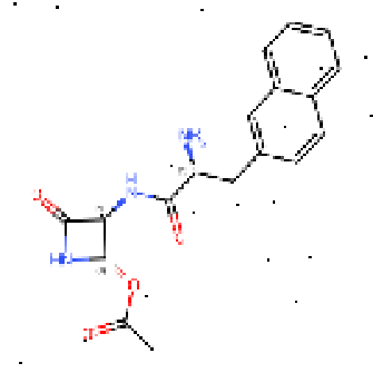 CC(=O)O[C@@H]1NC(=O)[C@H]1NC(=O)[C@@H](N)Cc1ccc2ccccc2c1